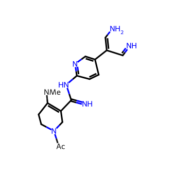 CNC1=C(C(=N)Nc2ccc(/C(C=N)=C/N)cn2)CN(C(C)=O)CC1